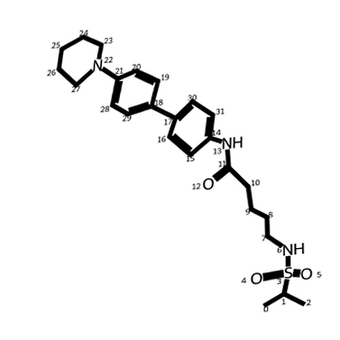 CC(C)S(=O)(=O)NCCCCC(=O)Nc1ccc(-c2ccc(N3CCCCC3)cc2)cc1